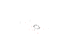 C=C(C)OCOc1ccc(OC(C)=O)cc1C(=O)O